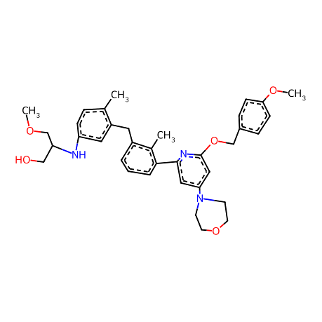 COCC(CO)Nc1ccc(C)c(Cc2cccc(-c3cc(N4CCOCC4)cc(OCc4ccc(OC)cc4)n3)c2C)c1